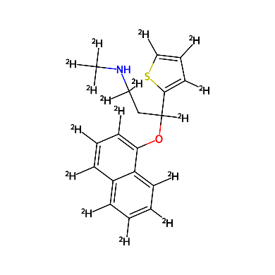 [2H]c1sc(C([2H])(CC([2H])([2H])NC([2H])([2H])[2H])Oc2c([2H])c([2H])c([2H])c3c([2H])c([2H])c([2H])c([2H])c23)c([2H])c1[2H]